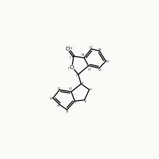 O=C1O[C](C2CCc3ccccc32)c2ccccc21